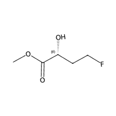 COC(=O)[C@H](O)CCF